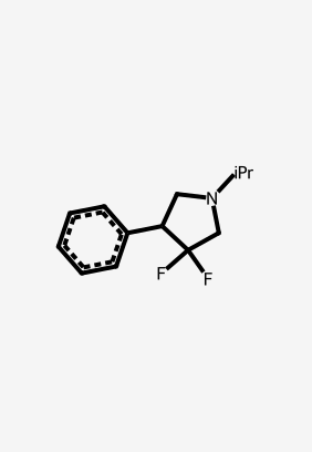 CC(C)N1CC(c2ccccc2)C(F)(F)C1